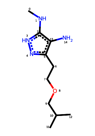 CNc1[nH]nc(CCOCC(C)C)c1N